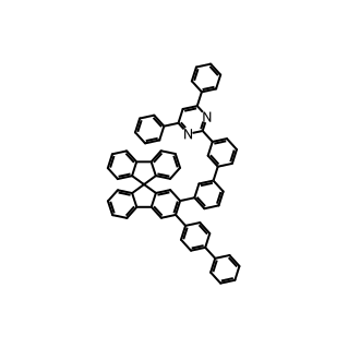 c1ccc(-c2ccc(-c3cc4c(cc3-c3cccc(-c5cccc(-c6nc(-c7ccccc7)cc(-c7ccccc7)n6)c5)c3)C3(c5ccccc5-c5ccccc53)c3ccccc3-4)cc2)cc1